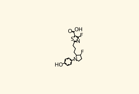 O=C(O)c1sc(CCCC2C(F)CCN2c2ccc(O)cc2)nc1F